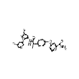 CC(C)c1cc(NC(=O)Nc2ccc(Oc3ccnc(C(N)=O)c3)cc2)n(-c2cncc(F)c2)n1